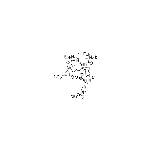 CCn1nc(C)cc1C(=O)Nc1nc2cc(C(=O)O)cc(OC)c2n1CC=CCn1c(NC(=O)c2cc(C)nn2CC)nc2cc(C(N)=O)cc(OCC#CCN3CCN(C(=O)OC(C)(C)C)CC3)c21